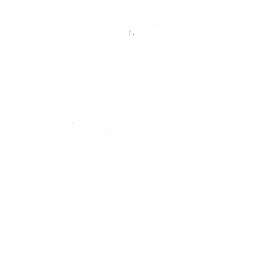 COC(=O)c1cc([N+](=O)[O-])ccc1OC(c1ccc(Cl)cc1)c1ccc(Cl)cc1